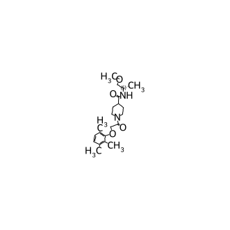 COC[C@H](C)NC(=O)C1CCN(C(=O)COc2c(C)ccc(C)c2C)CC1